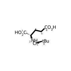 CC(C)(C)Cl.N[C@@H](CCC(=O)O)C(=O)O